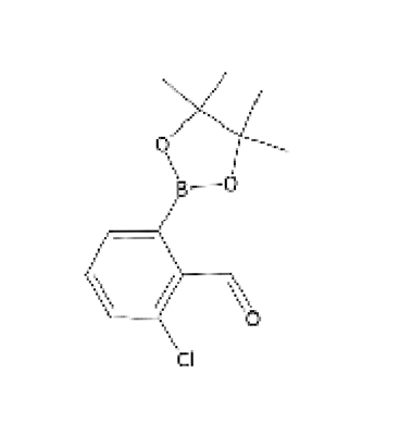 CC1(C)OB(c2cccc(Cl)c2C=O)OC1(C)C